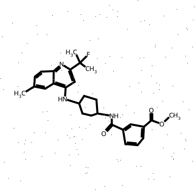 COC(=O)c1cccc(C(=O)NC2CCC(Nc3cc(C(C)(C)F)nc4ccc(C)cc34)CC2)c1